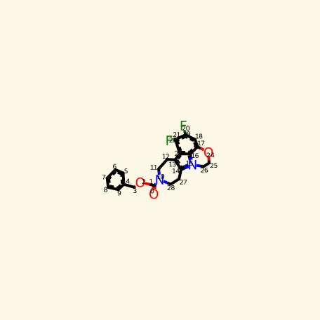 O=C(OCc1ccccc1)N1CCc2c(n3c4c(cc(F)c(F)c24)OCC3)CC1